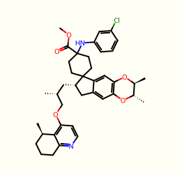 COC(=O)C1(Nc2cccc(Cl)c2)CCC2(CC1)c1cc3c(cc1C[C@@H]2C[C@@H](C)COc1ccnc2c1[C@H](C)CCC2)O[C@@H](C)[C@H](C)O3